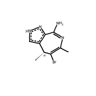 CC1=C(Br)[C@H](C)c2c[nH]nc2C(N)=N1